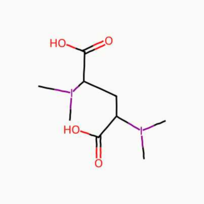 CI(C)C(CC(C(=O)O)I(C)C)C(=O)O